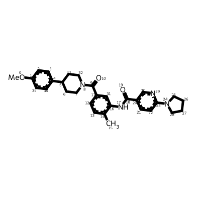 COc1ccc(C2CCN(C(=O)c3ccc(C)c(NC(=O)c4ccc(N5CCCC5)nc4)c3)CC2)cc1